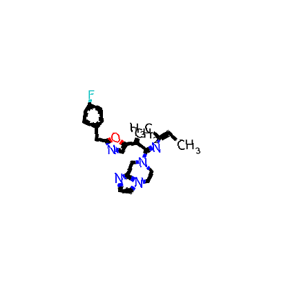 C=C(/C(=N\C(C)=C/C)N1CCn2ccnc2C1)c1cnc(Cc2ccc(F)cc2)o1